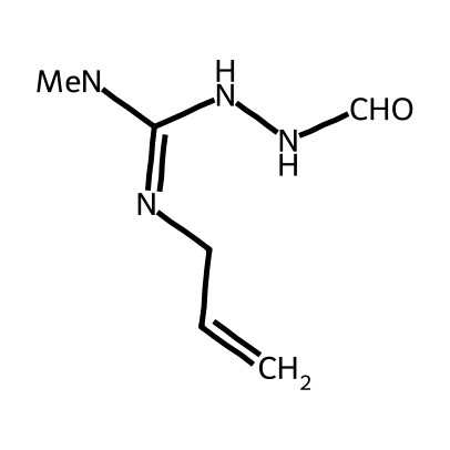 C=CCN=C(NC)NNC=O